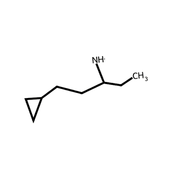 CCC([NH])CCC1CC1